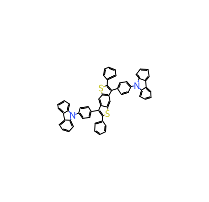 c1ccc(-c2sc3cc4c(-c5ccc(-n6c7ccccc7c7ccccc76)cc5)c(-c5ccccc5)sc4cc3c2-c2ccc(-n3c4ccccc4c4ccccc43)cc2)cc1